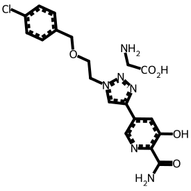 NC(=O)c1ncc(-c2cn(CCOCc3ccc(Cl)cc3)nn2)cc1O.NCC(=O)O